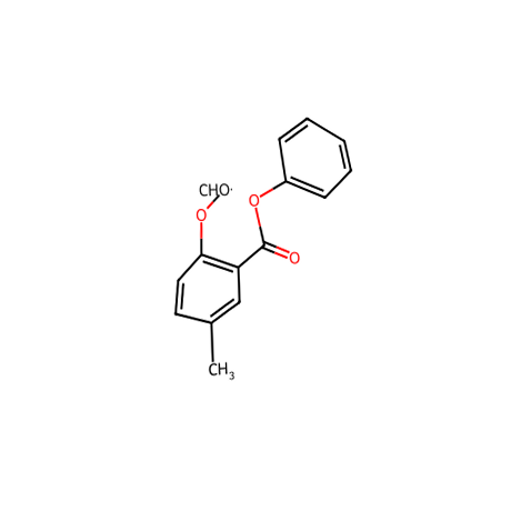 Cc1ccc(O[C]=O)c(C(=O)Oc2ccccc2)c1